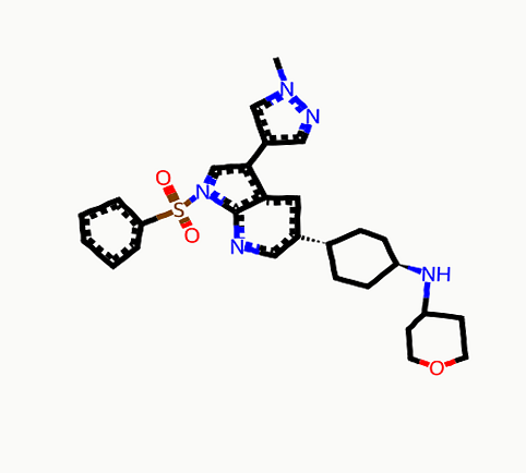 Cn1cc(-c2cn(S(=O)(=O)c3ccccc3)c3ncc([C@H]4CC[C@H](NC5CCOCC5)CC4)cc23)cn1